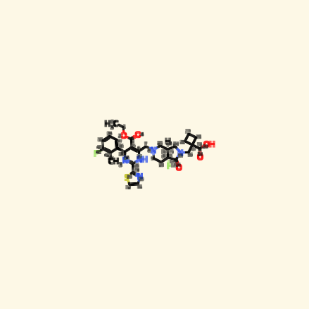 CCOC(=O)C1=C(CN2CC[C@]3(F)C(=O)N(CC4(C(=O)O)CCC4)C[C@@H]3C2)NC(c2nccs2)=N[C@H]1c1cccc(F)c1C